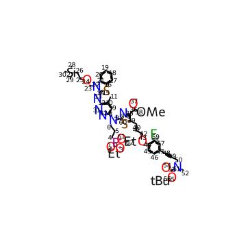 CCOP(=O)(CCCN(c1cc(C)c(/N=c2\sc3ccccc3n2COCC[Si](C)(C)C)nn1)c1nc(C(=O)OC)c(CCCOc2ccc(C#CCN(C)C(=O)OC(C)(C)C)cc2F)s1)OCC